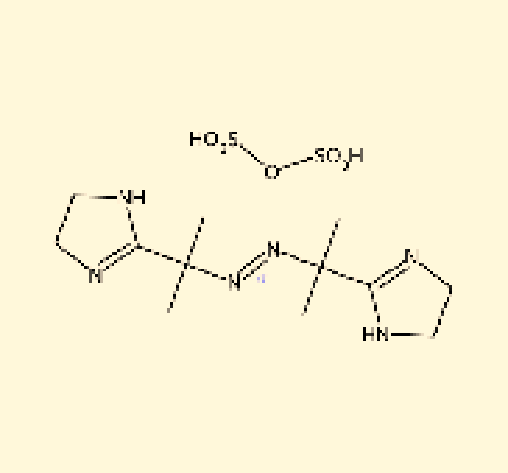 CC(C)(/N=N/C(C)(C)C1=NCCN1)C1=NCCN1.O=S(=O)(O)OS(=O)(=O)O